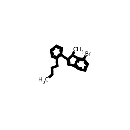 CCCCc1ccccc1C1=Cc2cccc(Br)c2C1C